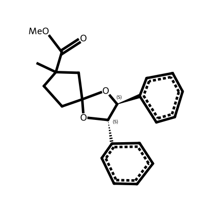 COC(=O)C1(C)CCC2(C1)O[C@@H](c1ccccc1)[C@H](c1ccccc1)O2